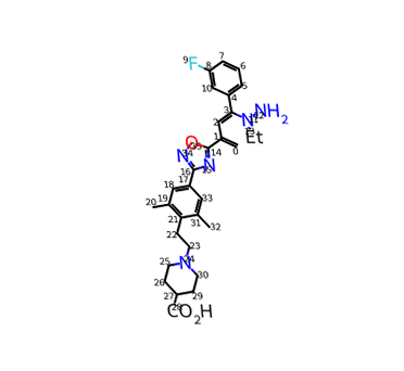 C=C(/C=C(/c1cccc(F)c1)N(N)CC)c1nc(-c2cc(C)c(CCN3CCC(C(=O)O)CC3)c(C)c2)no1